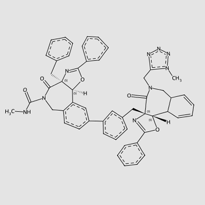 CNC(=O)N1Cc2ccc(-c3cccc(C[C@]45N=C(c6ccccc6)O[C@H]4C4C=CC=CC4CN(Cc4nnnn4C)C5=O)c3)cc2[C@@H]2OC(c3ccccc3)=N[C@]2(Cc2ccccc2)C1=O